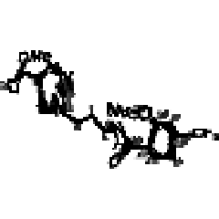 COC(=O)c1cn(CCCNC(=O)c2ccc(C(F)(F)F)cc2OC)nn1